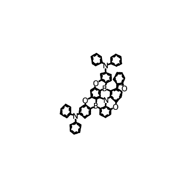 c1ccc(N(c2ccccc2)c2ccc3c(c2)Oc2cc4c5c6c2B3c2cccc3c2N6c2c(cc6oc7ccccc7c6c2B5c2ccc(N(c5ccccc5)c5ccccc5)cc2O4)O3)cc1